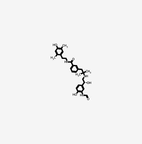 Cc1cc(CCNC(=O)c2cccc(CC(C)(C)NC[C@H](O)c3ccc(O)c(NC=O)c3)c2)c(C)cc1O